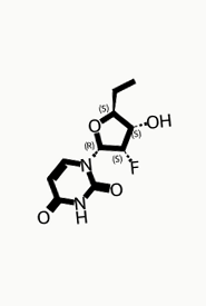 CC[C@@H]1O[C@@H](n2ccc(=O)[nH]c2=O)[C@@H](F)[C@H]1O